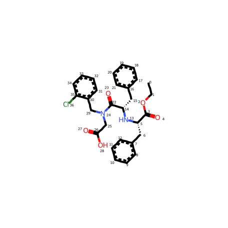 CCOC(=O)[C@H](Cc1ccccc1)N[C@@H](Cc1ccccc1)C(=O)N(CC(=O)O)Cc1ccccc1Cl